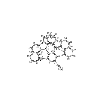 N#Cc1cc(C#N)c(-n2c3ccccc3c3ccc4ccccc4c32)c(-n2c3ccccc3c3ccc4ccccc4c32)c1